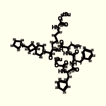 CC(C)C[C@@H](NC(=O)[C@@H](Cc1ccccc1)NC(=O)[C@@H](Cc1ccccc1)NC(=O)OC(C)(C)C)C(=O)N[C@H](CCCCNC(=O)OC(C)(C)C)C(=O)N1CCC2(CC1)CC(N1CCCC1)C2